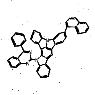 c1ccc(-c2nc(-n3c4ccccc4c4cc5c6ccc(-c7cccc8ccccc78)cc6n6c7ccccc7c(c43)c56)nc3ccccc23)cc1